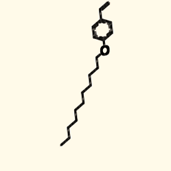 C=Cc1ccc(OCCCCCCCCCCC)cc1